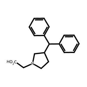 O=C(O)CN1CCC(C(c2ccccc2)c2ccccc2)C1